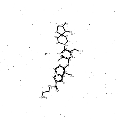 COCCNC(=O)c1cn2ccc(Sc3nc(CO)c(N4CCC5(CC4)CO[C@@H](C)[C@H]5N)nc3C)c(Cl)c2n1.Cl